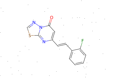 O=c1cc(/C=C/c2ccccc2F)nc2scnn12